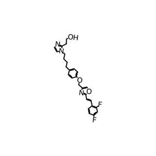 OCCc1nccn1CCCCc1ccc(OCc2coc(/C=C/c3ccc(F)cc3F)n2)cc1